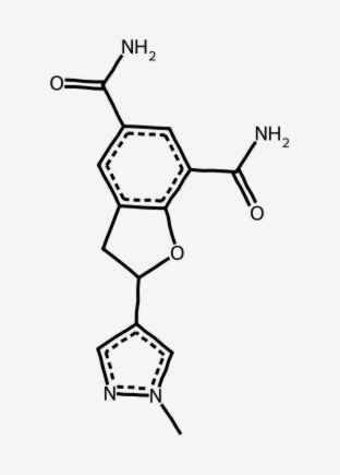 Cn1cc(C2Cc3cc(C(N)=O)cc(C(N)=O)c3O2)cn1